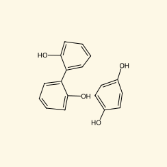 Oc1ccc(O)cc1.Oc1ccccc1-c1ccccc1O